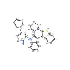 C1=C(c2ccccc2)C=C(n2c3ccccc3c3c4c5ccccc5sc4c4ccccc4c32)NC1